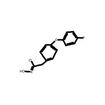 O/N=C(\Cl)Cc1ccc(Oc2ccc(F)cc2)cc1